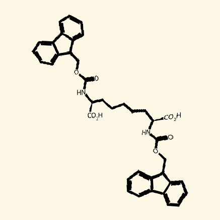 O=C(N[C@@H](CCCCC[C@H](NC(=O)OCC1c2ccccc2-c2ccccc21)C(=O)O)C(=O)O)OCC1c2ccccc2-c2ccccc21